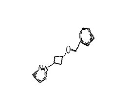 c1ccc(COC2CC(n3cccn3)C2)cc1